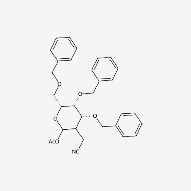 CC(=O)OC1O[C@H](COCc2ccccc2)[C@H](OCc2ccccc2)[C@H](OCc2ccccc2)C1CC#N